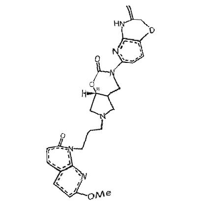 C=C1COc2ccc(N3CC4CN(CCCn5c(=O)ccc6ccc(OC)nc65)C[C@@H]4OC3=O)nc2N1